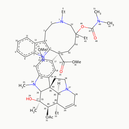 CCN1CCc2c([nH]c3ccccc23)[C@@](C(=O)OC)(c2cc3c(cc2OC)N(C)C2[C@](C)(O)[C@H](OC(C)=O)[C@]4(CC)C=CCN5CC[C@]32[C@@H]54)CCC(CC)(OC(=O)N(C)C)C1